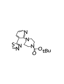 CC(C)(C)OC(=O)N1CCN(c2ncccc2-c2nncs2)CC1